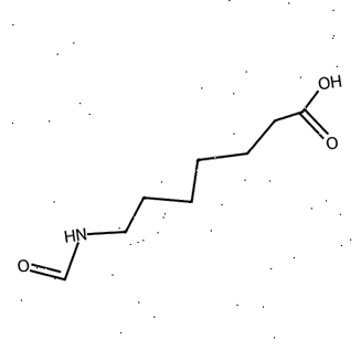 O=CNCCCCCCC(=O)O